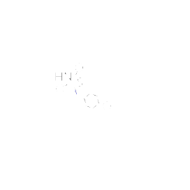 CCC(COc1ccc(/C=C2\SC(=O)NC2=O)cc1C)C1CCCCC1